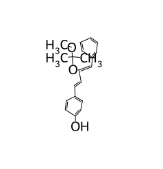 COC(C)(C)OC(C=Cc1ccc(O)cc1)=Cc1ccccc1